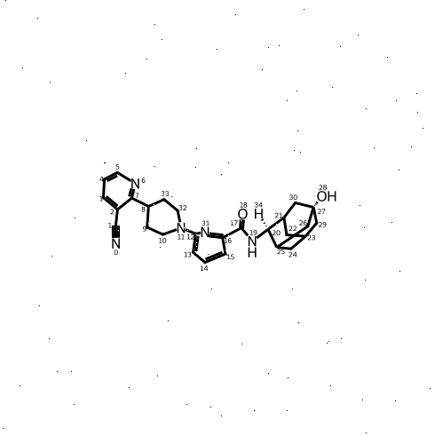 N#Cc1cccnc1C1CCN(c2cccc(C(=O)N[C@H]3C4CC5CC3C[C@](O)(C5)C4)n2)CC1